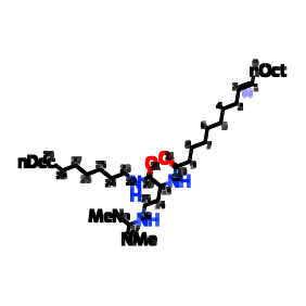 CCCCCCCC/C=C/CCCCCCCC(=O)NC(CCNC(NC)NC)C(=O)NCCCCCCCCCCCCCCCC